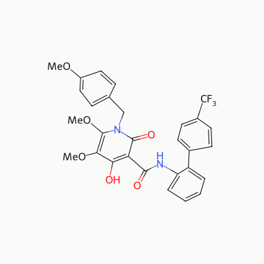 COc1ccc(Cn2c(OC)c(OC)c(O)c(C(=O)Nc3ccccc3-c3ccc(C(F)(F)F)cc3)c2=O)cc1